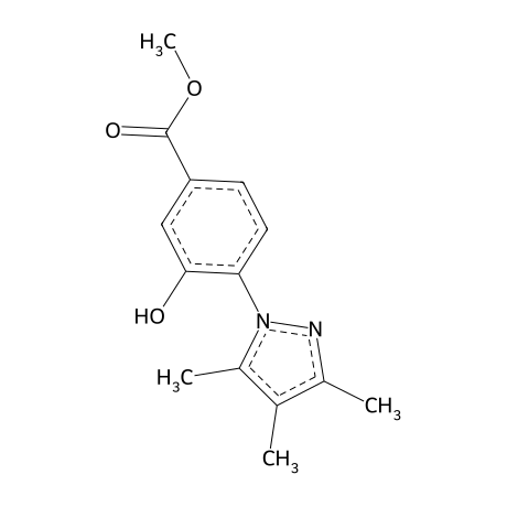 COC(=O)c1ccc(-n2nc(C)c(C)c2C)c(O)c1